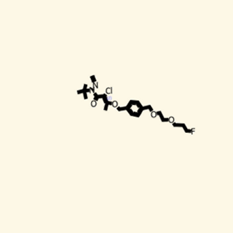 C=NN(C(=O)/C(Cl)=C(\C)OCc1ccc(COCCOCCCF)cc1)C(C)(C)C